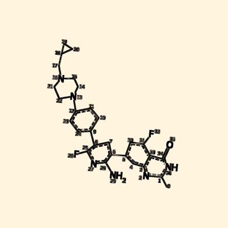 Cc1nc2cc(-c3cc(-c4ccc(N5CCN(CC6CC6)CC5)cc4)c(F)nc3N)cc(F)c2c(=O)[nH]1